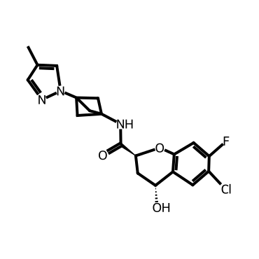 Cc1cnn(C23CC(NC(=O)[C@@H]4C[C@@H](O)c5cc(Cl)c(F)cc5O4)(C2)C3)c1